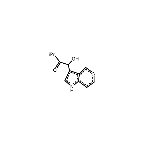 CC(C)C(=O)C(O)c1c[nH]c2ccncc12